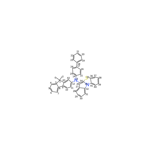 CC1(C)c2ccccc2-c2ccc(N(c3ccc(-c4ccccc4)cc3)c3c4ccccc4n4c3sc3ccccc34)cc21